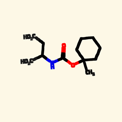 CC1(OC(=O)NC(CC(=O)O)C(=O)O)CCCCC1